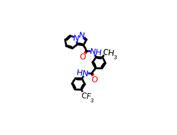 Cc1ccc(C(=O)Nc2cccc(C(F)(F)F)c2)cc1NC(=O)c1cnn2ccccc12